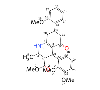 COC(=O)C1C(C)NC2=C(C(=O)CC(c3ccccc3OC)C2)C1c1cccc(OC)c1OC